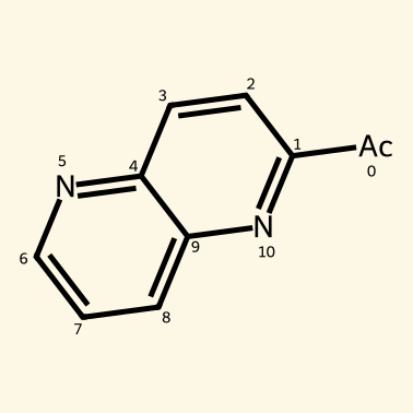 CC(=O)c1ccc2ncccc2n1